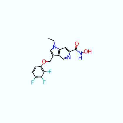 CCn1cc(COc2ccc(F)c(F)c2F)c2cnc(C(=O)NO)cc21